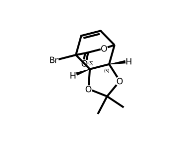 CC1(C)O[C@H]2C3C=CC(Br)(C(=O)O3)[C@H]2O1